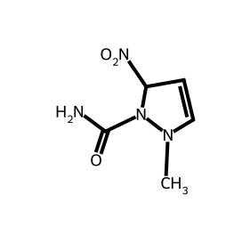 CN1C=CC([N+](=O)[O-])N1C(N)=O